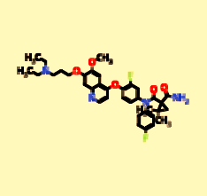 CCN(CC)CCCOc1cc2nccc(Oc3ccc(N(C(=O)C4(C(N)=O)CC4(C)C)c4ccc(F)cc4)cc3F)c2cc1OC